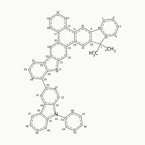 CC1(C)c2ccccc2-c2cc3c4ccccc4c4cc5c(cc4c3cc21)sc1c(-c2ccc3c(c2)c2ccccc2n3-c2ccccc2)cccc15